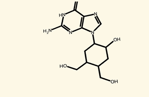 Nc1nc2c(ncn2C2CC(CO)C(CO)CC2O)c(=O)[nH]1